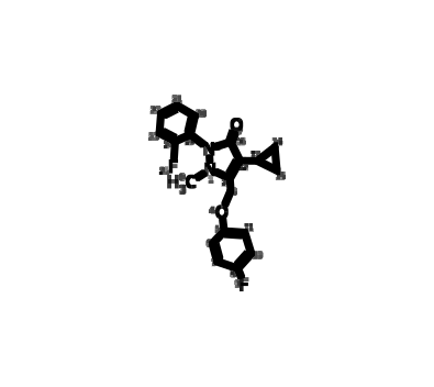 Cn1c(COc2ccc(F)cc2)c(C2CC2)c(=O)n1-c1ccccc1F